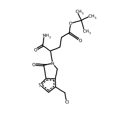 CC(C)(C)OC(=O)CCC(C(N)=O)N1Cc2c(CCl)csc2C1=O